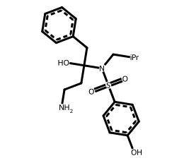 CC(C)CN(C(O)(CCN)Cc1ccccc1)S(=O)(=O)c1ccc(O)cc1